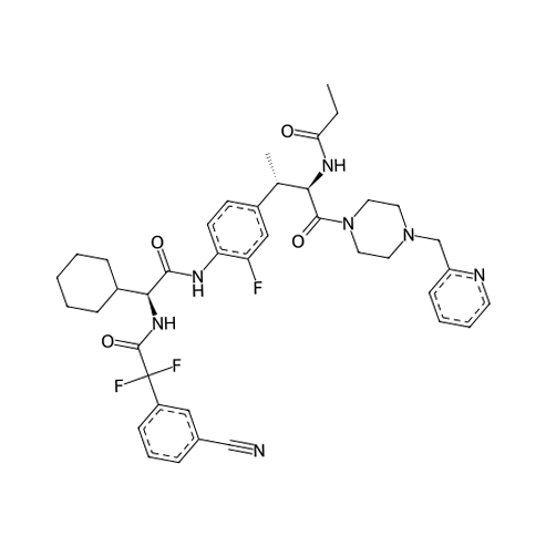 CCC(=O)N[C@@H](C(=O)N1CCN(Cc2ccccn2)CC1)[C@@H](C)c1ccc(NC(=O)[C@@H](NC(=O)C(F)(F)c2cccc(C#N)c2)C2CCCCC2)c(F)c1